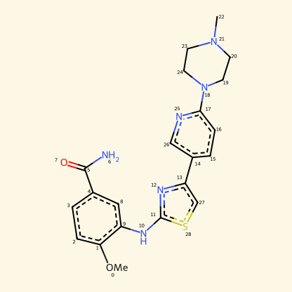 COc1ccc(C(N)=O)cc1Nc1nc(-c2ccc(N3CCN(C)CC3)nc2)cs1